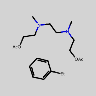 CC(=O)OCCN(C)CCN(C)CCOC(C)=O.CCc1ccccc1